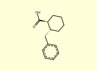 O=C(O)[C@H]1CCCC[C@@H]1Cc1ccccc1